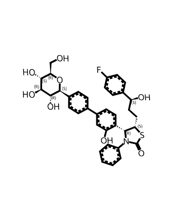 O=C1S[C@@H](CC[C@H](O)c2ccc(F)cc2)[C@@H](c2ccc(-c3ccc([C@@H]4O[C@H](CO)[C@@H](O)[C@H](O)[C@H]4O)cc3)cc2O)N1c1ccccc1